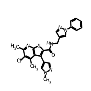 Cc1nc2sc(C(=O)NCc3cnn(-c4ccccc4)c3)c(-c3cnn(C)c3)c2c(C)c1Cl